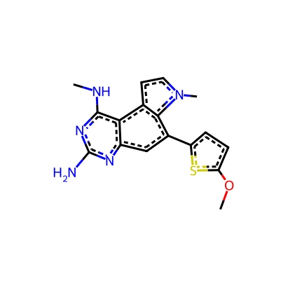 CNc1nc(N)nc2cc(-c3ccc(OC)s3)c3c(ccn3C)c12